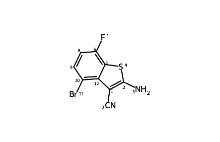 N#Cc1c(N)sc2c(F)ccc(Br)c12